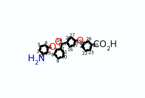 Nc1cccc(Oc2ccccc2C(=O)c2ccc(Oc3cccc(C(=O)O)c3)cc2)c1